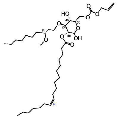 C=CCOC(=O)OC[C@H]1OC(O)[C@H](OC(=O)CCCCCCCCC/C=C\CCCCCC)[C@@H](OCC[C@@H](CCCCCCC)OC)[C@@H]1O